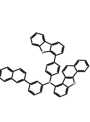 c1cc(-c2ccc3ccccc3c2)cc(N(c2ccc(-c3cccc4c3sc3ccccc34)cc2)c2cccc3oc4c5ccccc5ccc4c23)c1